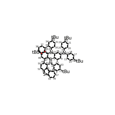 CC(C)(C)c1ccc(N2B3c4ccc(N(c5ccc(C(C)(C)C)cc5)c5ccc(C(C)(C)C)cc5)cc4N(c4ccc(C(C)(C)C)cc4-c4ccccc4)c4cc(C(C)(C)C)cc(c43)-c3ccc4sc5ccccc5c4c32)cc1